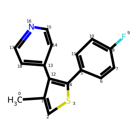 Cc1csc(-c2ccc(F)cc2)c1-c1ccncc1